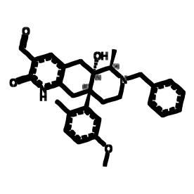 COc1ccc(C)c([C@]23CCN(Cc4ccccc4)[C@H](C)[C@]2(O)Cc2cc(C=O)c(=O)[nH]c2C3)c1